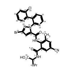 CCCC(NC(=O)c1cc(C#N)cc(C)c1NC(=O)c1cc(Br)nn1-c1ncccc1-c1ncccc1Cl)C(=O)O